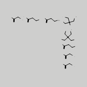 CC(CO)(CO)CO.CCC(CO)(CO)CO.O=C(O)CCS.O=C(O)CCS.O=C(O)CCS.O=C(O)CS.O=C(O)CS.O=C(O)CS